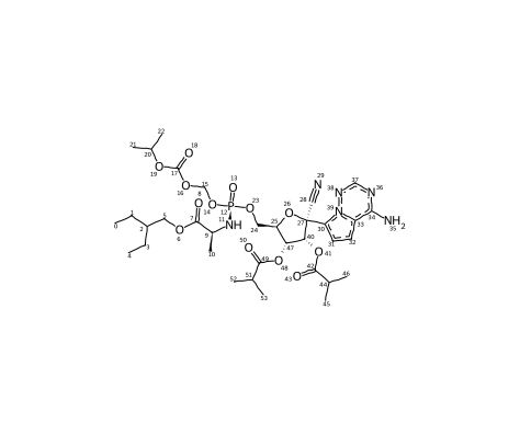 CCC(CC)COC(=O)[C@H](C)N[P@](=O)(OCOC(=O)OC(C)C)OC[C@H]1O[C@@](C#N)(c2ccc3c(N)ncnn23)[C@H](OC(=O)C(C)C)[C@@H]1OC(=O)C(C)C